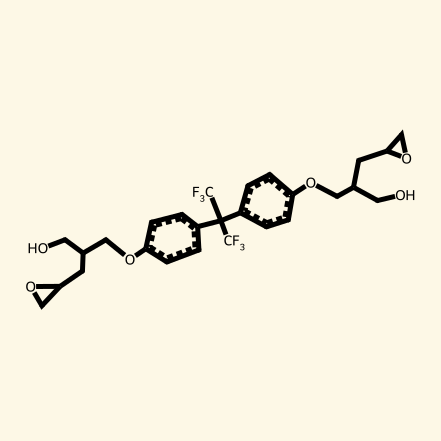 OCC(COc1ccc(C(c2ccc(OCC(CO)CC3CO3)cc2)(C(F)(F)F)C(F)(F)F)cc1)CC1CO1